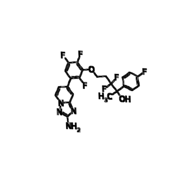 CC(O)(c1ccc(F)cc1)C(F)(F)CCOc1c(F)c(F)cc(-c2ccn3nc(N)nc3c2)c1F